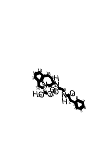 O=C(Cc1ccccc1)NCC(=O)N[C@H]1CCc2cccc3c2N(C1=O)[C@H](C(=O)O)C3